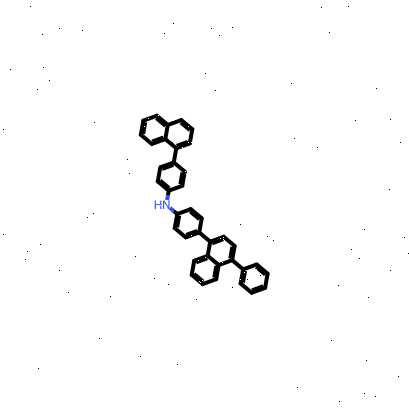 c1ccc(-c2ccc(-c3ccc(Nc4ccc(-c5cccc6ccccc56)cc4)cc3)c3ccccc23)cc1